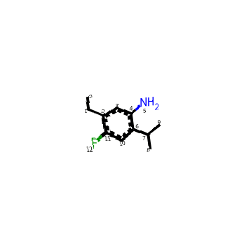 CCc1cc(N)c(C(C)C)cc1F